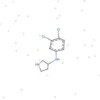 Clc1ccc(NC2CCNC2)cc1Cl